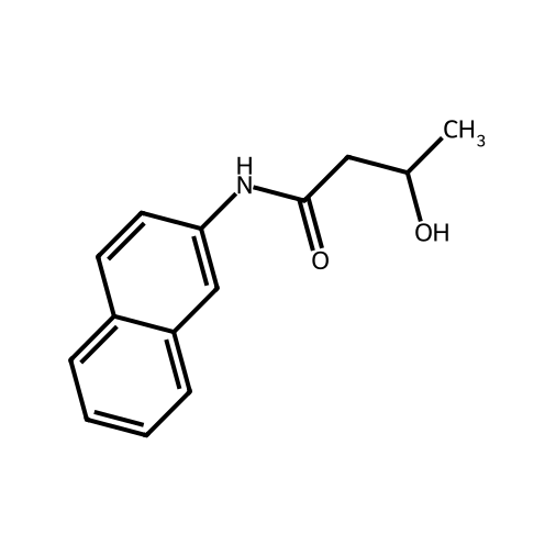 CC(O)CC(=O)Nc1ccc2ccccc2c1